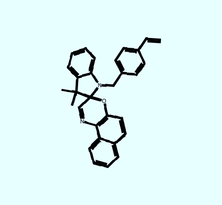 C=Cc1ccc(CN2c3ccccc3C(C)(C)C23C=Nc2c(ccc4ccccc24)O3)cc1